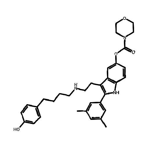 Cc1cc(C)cc(-c2[nH]c3ccc(OC(=O)N4CCOCC4)cc3c2CCNCCCCc2ccc(O)cc2)c1